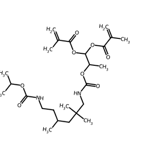 C=C(C)C(=O)OC(OC(=O)C(=C)C)C(C)OC(=O)NCC(C)(C)CC(C)CCNC(=O)OC(C)C